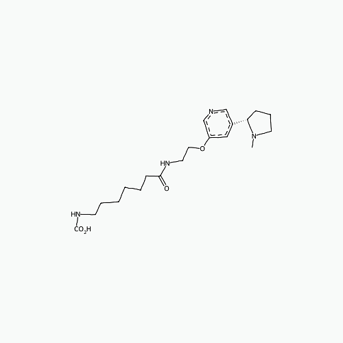 CN1CCC[C@H]1c1cncc(OCCNC(=O)CCCCCCNC(=O)O)c1